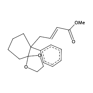 COC(=O)C=CCC1(c2ccccc2)CCCCC12OCCO2